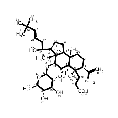 C=C(C)[C@@H]1CC[C@]2(C)[C@H](C[C@@H](O[C@@H]3O[C@H](C)[C@@H](O)[C@H](O)[C@H]3O)[C@@H]3[C@@H]([C@@](C)(O)C/C=C/C(C)(C)O)CC[C@]32C)[C@@]1(C)CCC(=O)O